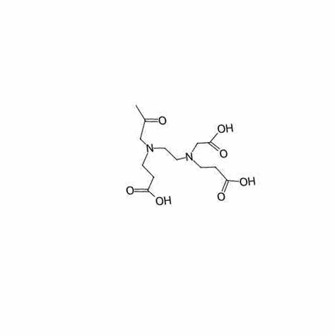 CC(=O)CN(CCC(=O)O)CCN(CCC(=O)O)CC(=O)O